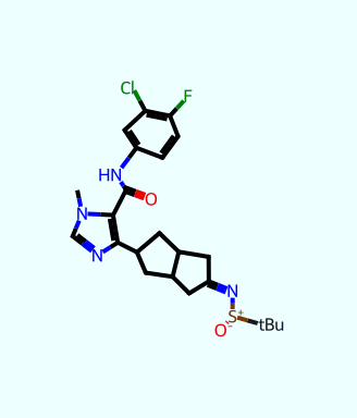 Cn1cnc(C2CC3CC(=N[S+]([O-])C(C)(C)C)CC3C2)c1C(=O)Nc1ccc(F)c(Cl)c1